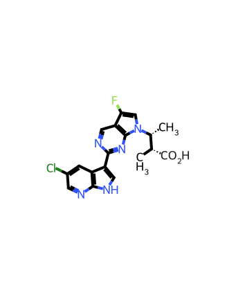 C[C@H]([C@@H](C)C(=O)O)n1cc(F)c2cnc(-c3c[nH]c4ncc(Cl)cc34)nc21